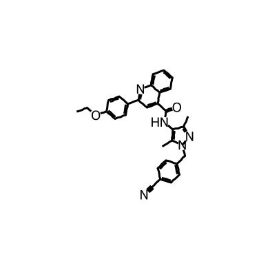 CCOc1ccc(-c2cc(C(=O)Nc3c(C)nn(Cc4ccc(C#N)cc4)c3C)c3ccccc3n2)cc1